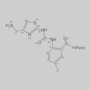 CCCCCC(=O)c1cc(C)ccc1NC(=O)Nc1nc(CN)cs1